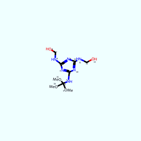 COC(Nc1nc(NCO)nc(NCO)n1)(OC)OC